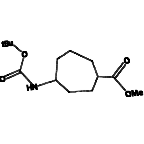 COC(=O)C1CCCC(NC(=O)OC(C)(C)C)CC1